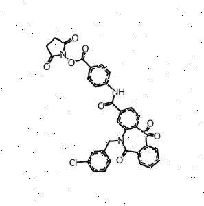 O=C(Nc1ccc(C(=O)ON2C(=O)CCC2=O)cc1)c1ccc2c(c1)N(Cc1cccc(Cl)c1)C(=O)c1ccccc1S2(=O)=O